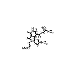 COCCOC(=O)C1=C(C)NC(C)=C(C(=O)OCC(O)[N+](=O)[O-])C1c1cccc([N+](=O)[O-])c1